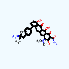 CN(C)[C@@H]1C(O)=C(C(N)=O)C(=O)C2C(O)=C3C(=O)c4c(O)ccc(-c5ccc(CC(C)(C)N)cc5)c4CC3CC21